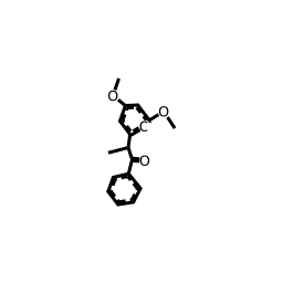 COc1cc(OC)cc(C(C)C(=O)c2ccccc2)c1